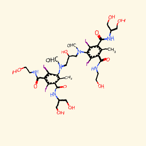 Cc1c(C(=O)NCCO)c(I)c(N(C=O)CC(O)CN(C=O)c2c(C)c(C(=O)NC(CO)CO)c(I)c(C(=O)NCCO)c2I)c(I)c1C(=O)NC(CO)CO